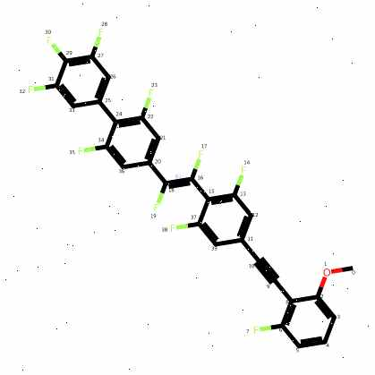 COc1cccc(F)c1C#Cc1cc(F)c(/C(F)=C(\F)c2cc(F)c(-c3cc(F)c(F)c(F)c3)c(F)c2)c(F)c1